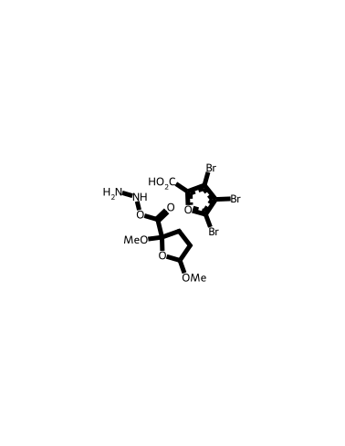 COC1CCC(OC)(C(=O)ONN)O1.O=C(O)c1oc(Br)c(Br)c1Br